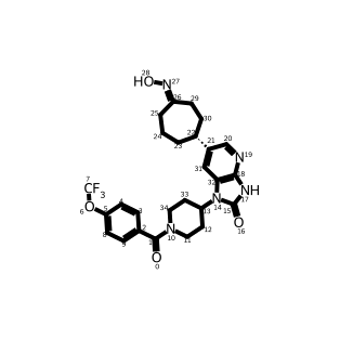 O=C(c1ccc(OC(F)(F)F)cc1)N1CCC(n2c(=O)[nH]c3ncc([C@@H]4CCC/C(=N\O)CC4)cc32)CC1